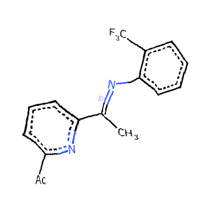 CC(=O)c1cccc(/C(C)=N/c2ccccc2C(F)(F)F)n1